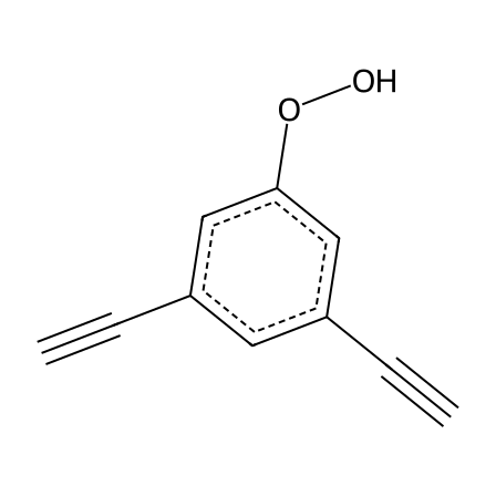 C#Cc1cc(C#C)cc(OO)c1